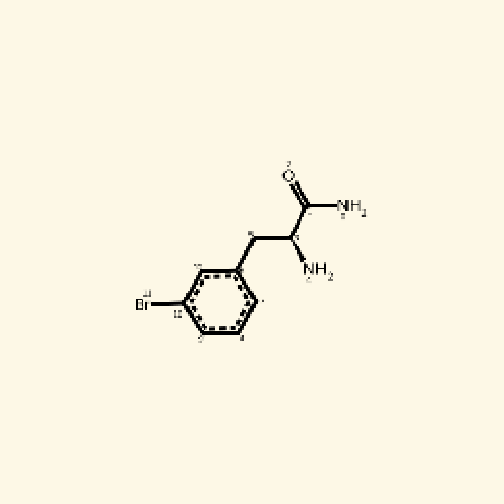 NC(=O)[C@@H](N)Cc1cccc(Br)c1